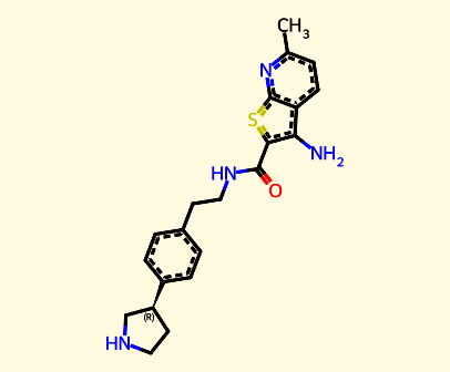 Cc1ccc2c(N)c(C(=O)NCCc3ccc([C@H]4CCNC4)cc3)sc2n1